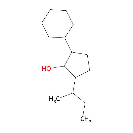 CCC(C)C1CCC(C2CCCCC2)C1O